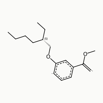 [CH]=C(OC)c1cc[c]c(OC[C@@H](CC)CCCC)c1